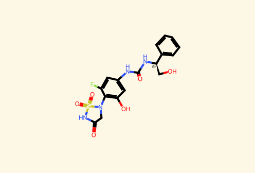 O=C1CN(c2c(O)cc(NC(=O)N[C@H](CO)c3ccccc3)cc2F)S(=O)(=O)N1